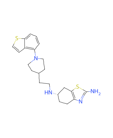 Nc1nc2c(s1)C[C@@H](NCCC1CCN(c3cccc4sccc34)CC1)CC2